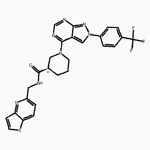 O=C(NCc1ccc2sccc2n1)[C@@H]1CCCN(c2ncnc3nn(-c4ccc(C(F)(F)F)cc4)cc23)C1